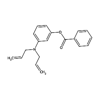 C=CCN(CC=C)c1cccc(OC(=O)c2ccccc2)c1